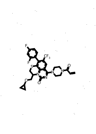 C=CC(=O)N1CCN(c2nc(=O)n3c4c(c(-c5ccc(F)cc5F)c(C(F)(F)F)cc24)SCC3COC2CC2)CC1